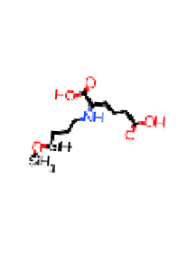 O=C(O)CCCC(NCCC[SiH]O[SiH3])C(=O)O